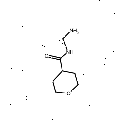 NCNC(=O)C1CCOCC1